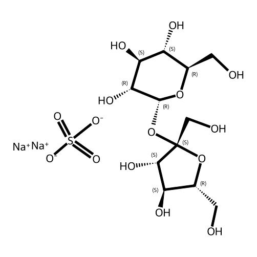 O=S(=O)([O-])[O-].OC[C@H]1O[C@@](CO)(O[C@H]2O[C@H](CO)[C@@H](O)[C@H](O)[C@H]2O)[C@@H](O)[C@@H]1O.[Na+].[Na+]